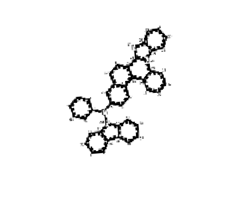 c1ccc(P(c2ccc3c(ccc4c3c3ccccc3n3c5ccccc5nc43)c2)n2c3ccccc3c3ccccc32)cc1